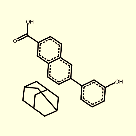 C1C2CC3CC1CC(C2)C3.O=C(O)c1ccc2cc(-c3cccc(O)c3)ccc2c1